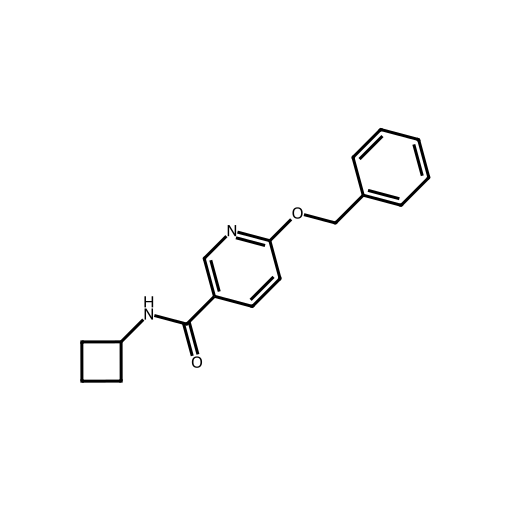 O=C(NC1CCC1)c1ccc(OCc2ccccc2)nc1